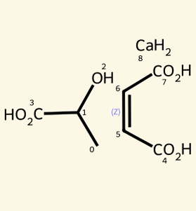 CC(O)C(=O)O.O=C(O)/C=C\C(=O)O.[CaH2]